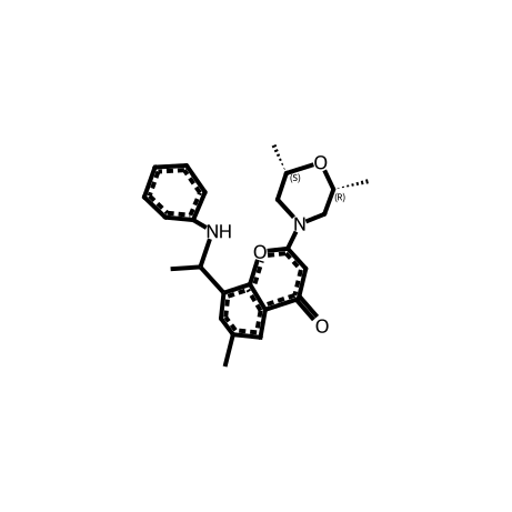 Cc1cc(C(C)Nc2ccccc2)c2oc(N3C[C@@H](C)O[C@@H](C)C3)cc(=O)c2c1